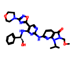 COCn1c(=O)c2ccc(Nc3ncc(-c4nc(N5CCOCC5)no4)c(N[C@H](CO)c4ccccc4)n3)nc2n1C(C)C